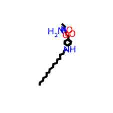 CCCCCCCCCCCCCCCCNc1ccc(C(=O)OC(=O)N(N)CC)cc1